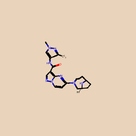 Cn1cc(NC(=O)c2cnn3ccc(N4CCC5CC[C@@H](C4)N5)nc23)c(C(F)(F)F)n1